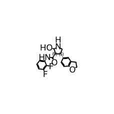 O=C(Nc1cccc(F)c1F)[C@H]1C(O)NC[C@@H]1c1ccc2c(c1)CCO2